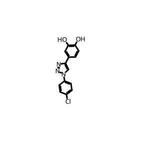 Oc1ccc(-c2cn(-c3ccc(Cl)cc3)nn2)cc1O